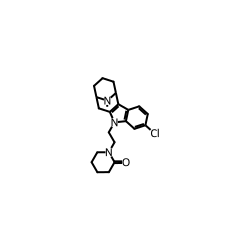 CN1C2CCCC1c1c(n(CCN3CCCCC3=O)c3cc(Cl)ccc13)C2